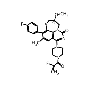 C=C(F)C(=O)N1CCN(c2nc(=O)n3c4c(c(-c5ccc(F)cc5)c(C)cc24)SC[C@@H](OC)C3)CC1